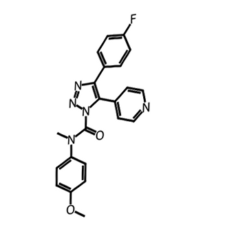 COc1ccc(N(C)C(=O)n2nnc(-c3ccc(F)cc3)c2-c2ccncc2)cc1